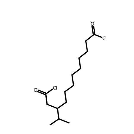 CC(C)C(CCCCCCCCC(=O)Cl)CC(=O)Cl